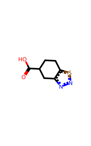 O=C(O)C1CCc2snnc2C1